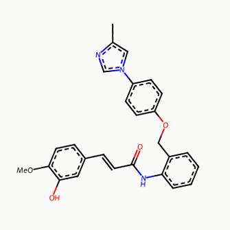 COc1ccc(C=CC(=O)Nc2ccccc2COc2ccc(-n3cnc(C)c3)cc2)cc1O